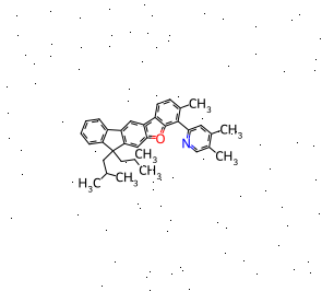 Cc1cnc(-c2c(C)ccc3c2oc2cc4c(cc23)-c2ccccc2C4(CC(C)C)CC(C)C)cc1C